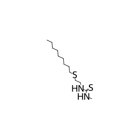 CCCCCCCCCSCCNC(=S)NC